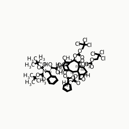 CC(=O)O[C@@]12CO[C@@H]1C[C@H](OC(=O)OCC(Cl)(Cl)Cl)[C@@]1(C)C(=O)[C@H](OC(=O)OCC(Cl)(Cl)Cl)C3=C(C)[C@@H](OC(=O)C(O)[C@H](c4ccccc4)N(C(=O)OC(C)(C)C)C(=O)OC(C)(C)C)C[C@@](O)([C@@H](OC(=O)c4ccccc4)C12)C3(C)C